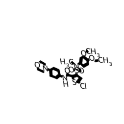 CCOc1ccc(N(C)S(=O)(=O)c2cc(Cl)sc2C(=O)Nc2ccc(N3CCOCC3)cc2)cc1OC